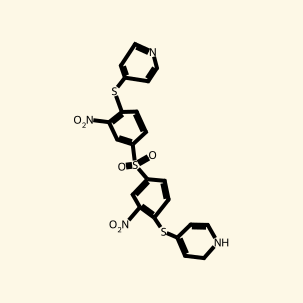 O=[N+]([O-])c1cc(S(=O)(=O)c2ccc(Sc3ccncc3)c([N+](=O)[O-])c2)ccc1SC1=CCNC=C1